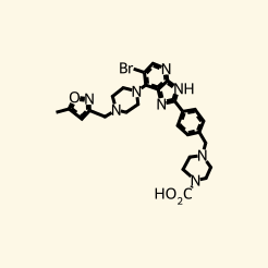 Cc1cc(CN2CCN(c3c(Br)cnc4[nH]c(-c5ccc(CN6CCN(C(=O)O)CC6)cc5)nc34)CC2)no1